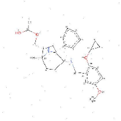 CCC(O)OC[C@@H]1C[C@]2(c3ccccc3)N[C@H]1CC[C@H]2NCc1cc(OC(F)(F)F)ccc1OC1CC1